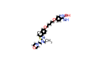 CCc1sc(N(CC)CCN2CCOCC2)nc1-c1ccc(OCCCCCOc2ccc(C(=N)NO)cc2)cc1